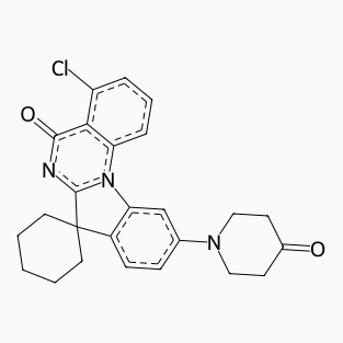 O=C1CCN(c2ccc3c(c2)-n2c(nc(=O)c4c(Cl)cccc42)C32CCCCC2)CC1